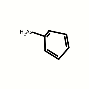 [AsH2]c1ccccc1